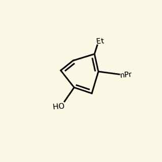 CCCc1cc(O)ccc1CC